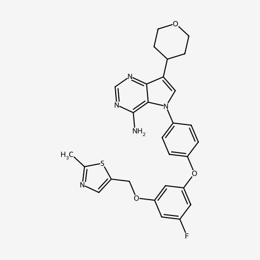 Cc1ncc(COc2cc(F)cc(Oc3ccc(-n4cc(C5CCOCC5)c5ncnc(N)c54)cc3)c2)s1